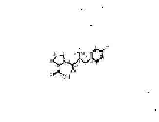 N[C@H](Cc1ccc(F)cc1)C(=O)N1CCC[C@H]1C(=O)O